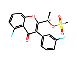 C[C@@H](OS(C)(=O)=O)c1oc2cccc(F)c2c(=O)c1-c1cccc(F)c1